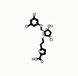 O=C(O)c1ccc(CCC[C@@H]2[C@@H](COc3cc(Cl)cc(Cl)c3)[C@H](O)C[C@@H]2Cl)s1